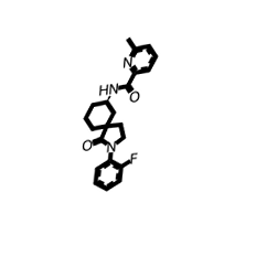 Cc1cccc(C(=O)N[C@H]2CCCC3(CCN(c4ccccc4F)C3=O)C2)n1